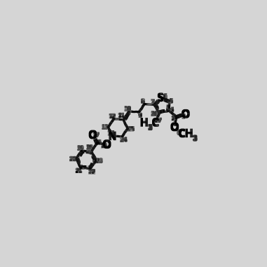 COC(=O)c1csc(CCC=C2CCN(OC(=O)c3ccccc3)CC2)c1C